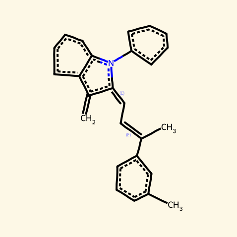 C=c1/c(=C\C=C(/C)c2cccc(C)c2)n(-c2ccccc2)c2ccccc12